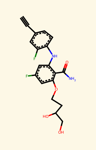 C#Cc1ccc(Nc2cc(F)cc(OCCC(O)CO)c2C(N)=O)c(F)c1